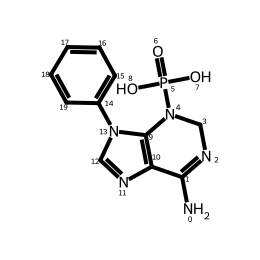 NC1=NCN(P(=O)(O)O)c2c1ncn2-c1ccccc1